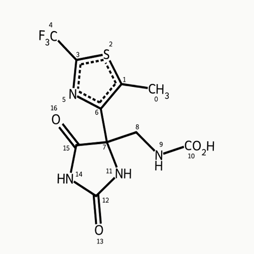 Cc1sc(C(F)(F)F)nc1C1(CNC(=O)O)NC(=O)NC1=O